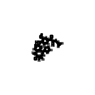 COc1cc(C(=O)NCC2CC2)ccc1Nc1ncc2c(n1)N(C1CCCC1)CC(C)(C)C(=O)N2C